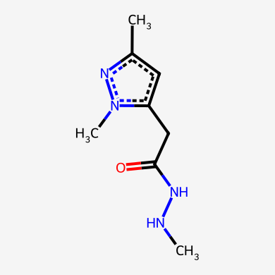 CNNC(=O)Cc1cc(C)nn1C